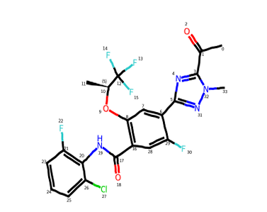 CC(=O)c1nc(-c2cc(O[C@@H](C)C(F)(F)F)c(C(=O)Nc3c(F)cccc3Cl)cc2F)nn1C